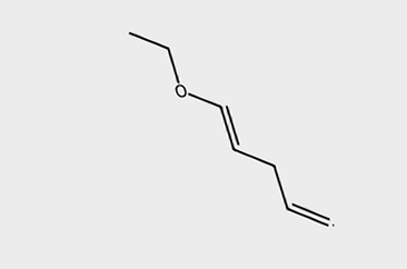 [CH]=CCC=COCC